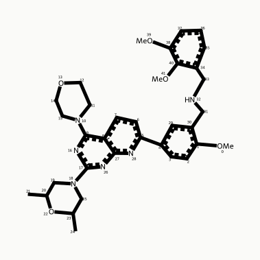 COc1ccc(-c2ccc3c(N4CCOCC4)nc(N4CC(C)OC(C)C4)nc3n2)cc1CNCc1cccc(OC)c1OC